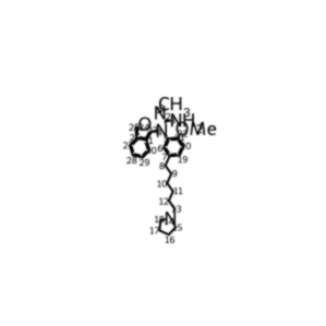 CN=C(N)N(c1cc(CCCCCCN2CCCC2)ccc1OC)c1occ2ccccc12